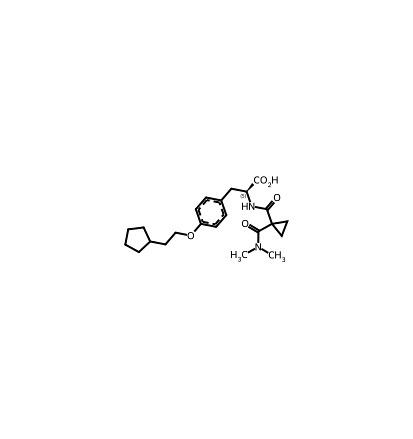 CN(C)C(=O)C1(C(=O)N[C@@H](Cc2ccc(OCCC3CCCC3)cc2)C(=O)O)CC1